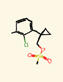 Cc1cccc(C2(COS(C)(=O)=O)CC2)c1Cl